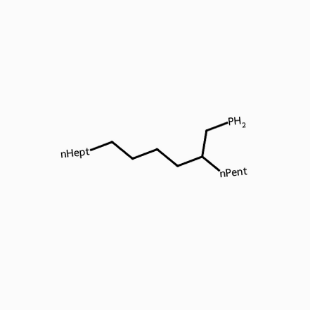 CCCCCCCCCCCC(CP)CCCCC